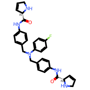 O=C(Nc1ccc(CN(Cc2ccc(NC(=O)[C@@H]3C=CCN3)cc2)c2ccc(F)cc2)cc1)[C@@H]1C=CCN1